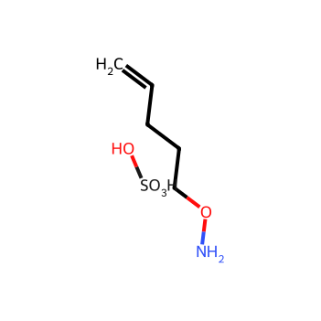 C=CCCCON.O=S(=O)(O)O